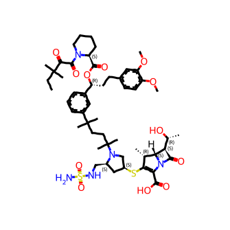 CCC(C)(C)C(=O)C(=O)N1CCCC[C@H]1C(=O)O[C@H](CCc1ccc(OC)c(OC)c1)c1cccc(C(C)(C)CCC(C)(C)N2C[C@@H](SC3=C(C(=O)O)N4C(=O)[C@H]([C@@H](C)O)[C@H]4[C@H]3C)C[C@H]2CNS(N)(=O)=O)c1